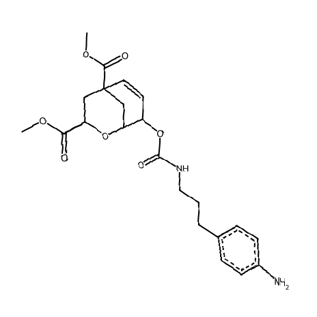 COC(=O)C1CC2(C(=O)OC)C=CC(OC(=O)NCCCc3ccc(N)cc3)C(C2)O1